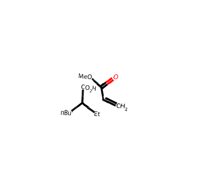 C=CC(=O)OC.CCCCC(CC)C(=O)O